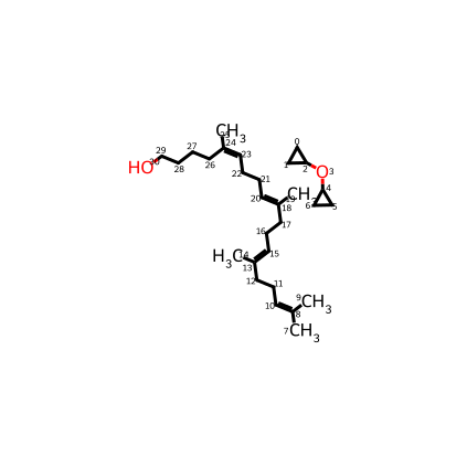 C1CC1OC1CC1.CC(C)=CCCC(C)=CCCC(C)=CCCC=C(C)CCCCO